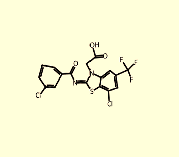 O=C(O)Cn1c(=NC(=O)c2cccc(Cl)c2)sc2c(Cl)cc(C(F)(F)F)cc21